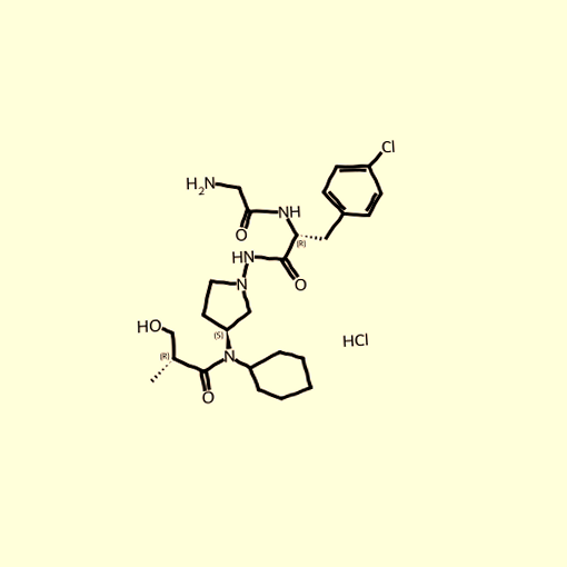 C[C@H](CO)C(=O)N(C1CCCCC1)[C@H]1CCN(NC(=O)[C@@H](Cc2ccc(Cl)cc2)NC(=O)CN)C1.Cl